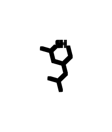 CCC(CC(C)C)CC(C)S